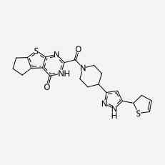 O=C(c1nc2sc3c(c2c(=O)[nH]1)CCC3)N1CCC(c2cc(C3CC=CS3)[nH]n2)CC1